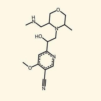 CNCC1COCC(C)N1CC(O)c1cc(OC)c(C#N)cn1